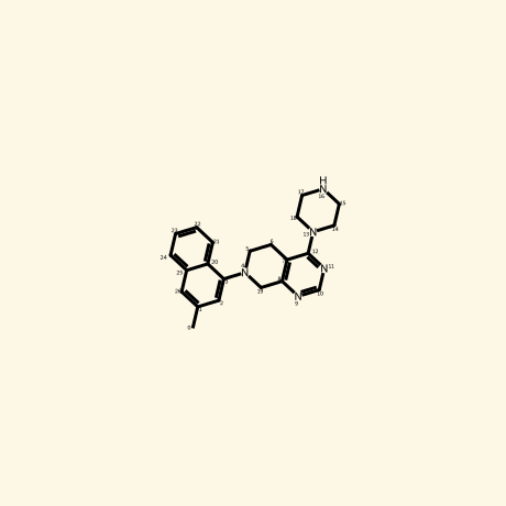 Cc1cc(N2CCc3c(ncnc3N3CCNCC3)C2)c2ccccc2c1